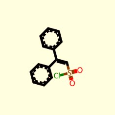 O=S(=O)(Cl)C=C(c1ccccc1)c1ccccc1